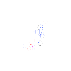 CN1CCC(O)(c2cc(-c3cccc(-c4ccnc(Nc5ccn(C6COC6)n5)n4)n3)no2)C1=O